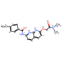 COc1ccc(C(=O)Nc2ccc3ccc(OCC(=O)N(C)C)nc3n2)cc1